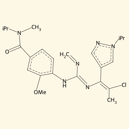 C=N/C(=N\C(=C(/C)Cl)c1cnn(C(C)C)c1)Nc1ccc(C(=O)N(C)C(C)C)cc1OC